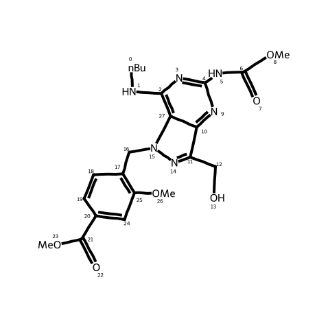 CCCCNc1nc(NC(=O)OC)nc2c(CO)nn(Cc3ccc(C(=O)OC)cc3OC)c12